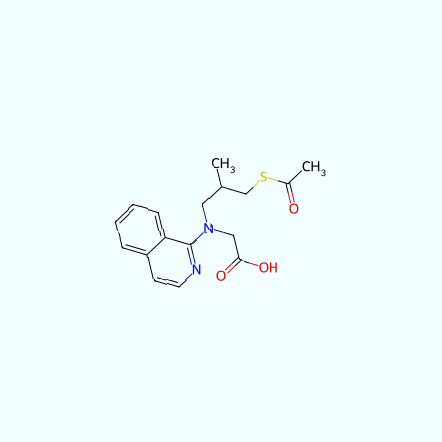 CC(=O)SCC(C)CN(CC(=O)O)c1nccc2ccccc12